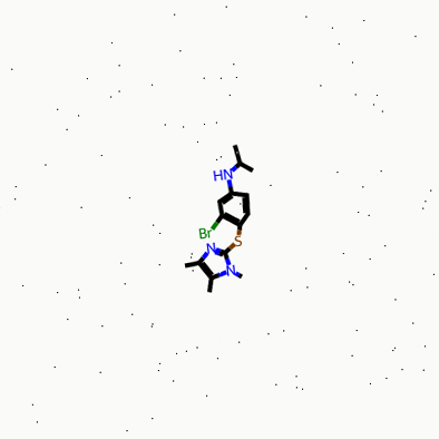 Cc1nc(Sc2ccc(NC(C)C)cc2Br)n(C)c1C